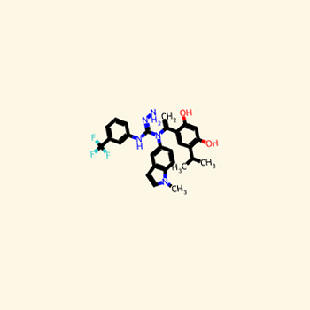 C=C(c1cc(C(C)C)c(O)cc1O)N(/C(=N\N)Nc1cccc(C(F)(F)F)c1)c1ccc2c(ccn2C)c1